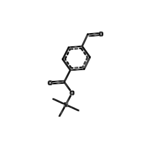 C[Si](C)(C)OC(=O)c1ccc(C=O)cc1